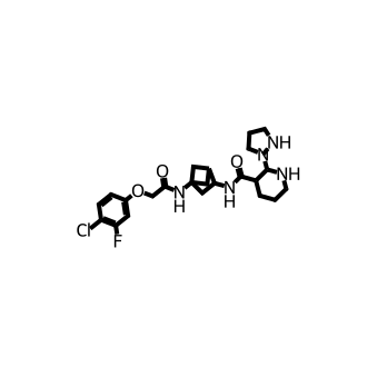 O=C(COc1ccc(Cl)c(F)c1)NC12CC(C1)C(NC(=O)C1CCCNC1N1CCCN1)C2